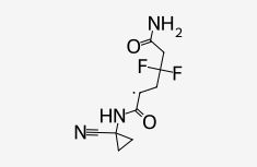 N#CC1(NC(=O)[CH]CC(F)(F)CC(N)=O)CC1